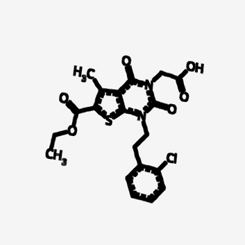 CCOC(=O)c1sc2c(c1C)c(=O)n(CC(=O)O)c(=O)n2CCc1ccccc1Cl